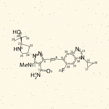 CNc1c(C(N)=O)c(C#Cc2cc3ncn(C4CC4)c3cc2F)nn1[C@@H]1CN[C@@H](C(C)(C)O)C1